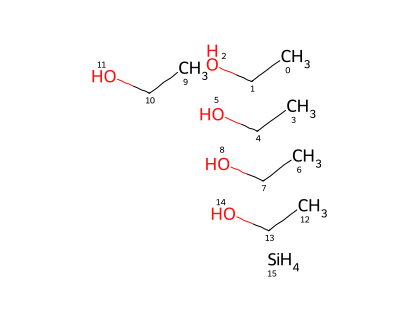 CCO.CCO.CCO.CCO.CCO.[SiH4]